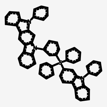 c1ccc(-n2c3ccccc3c3ccc(S(c4ccccc4)(c4ccccc4)c4cccc(-n5c6ccccc6c6cc7c8ccccc8n(-c8ccccc8)c7cc65)c4)cc32)cc1